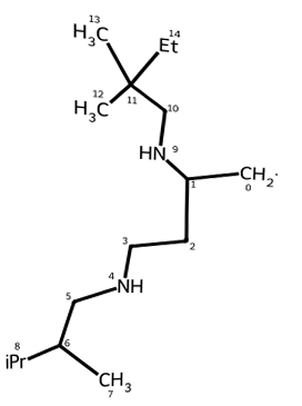 [CH2]C(CCNCC(C)C(C)C)NCC(C)(C)CC